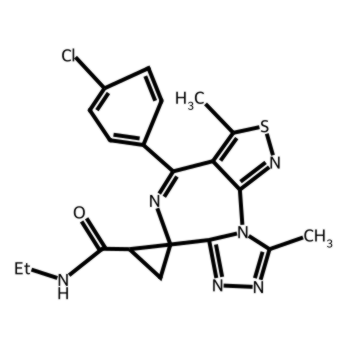 CCNC(=O)C1CC12N=C(c1ccc(Cl)cc1)c1c(nsc1C)-n1c(C)nnc12